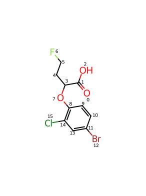 O=C(O)C(CCF)Oc1ccc(Br)cc1Cl